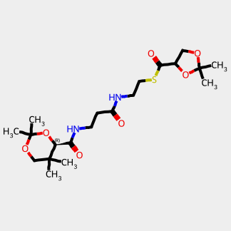 CC1(C)OCC(C(=O)SCCNC(=O)CCNC(=O)[C@@H]2OC(C)(C)OCC2(C)C)O1